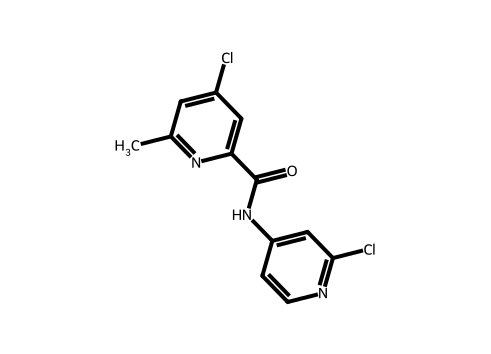 Cc1cc(Cl)cc(C(=O)Nc2ccnc(Cl)c2)n1